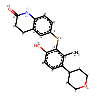 Cc1c(C2CCOCC2)ccc(O)c1Sc1ccc2c(c1)CCC(=O)N2